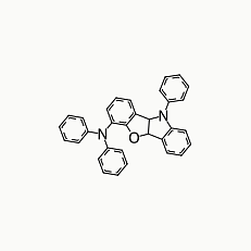 c1ccc(N(c2ccccc2)c2cccc3c2OC2c4ccccc4N(c4ccccc4)C32)cc1